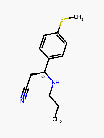 [CH2]CCN[C@@H](CC#N)c1ccc(SC)cc1